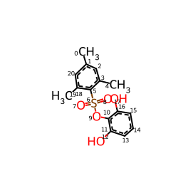 Cc1cc(C)c(S(=O)(=O)Oc2c(O)cccc2O)c(C)c1